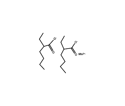 CCCCC(CC)C(=O)[O-].CCCCC(CC)C(=O)[O-].[Mn+2]